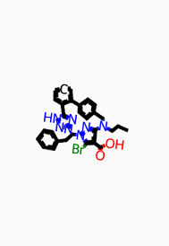 CCCN(Cc1ccc(-c2ccccc2-c2nnn[nH]2)cc1)c1nn(CCc2ccccc2)c(Br)c1C(=O)O